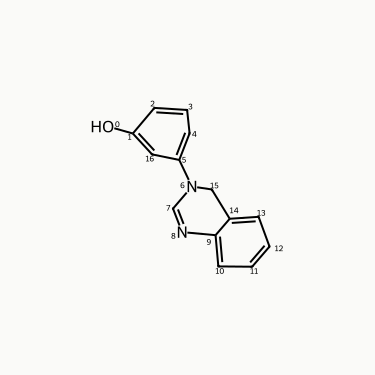 Oc1cccc(N2C=Nc3ccccc3C2)c1